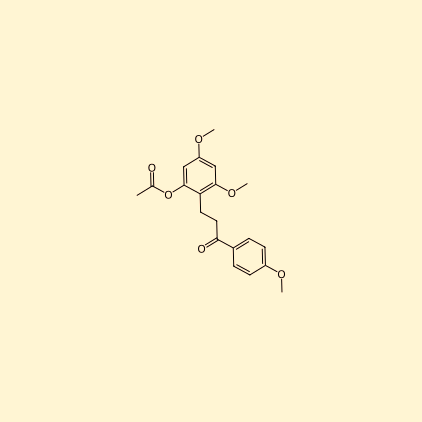 COc1ccc(C(=O)CCc2c(OC)cc(OC)cc2OC(C)=O)cc1